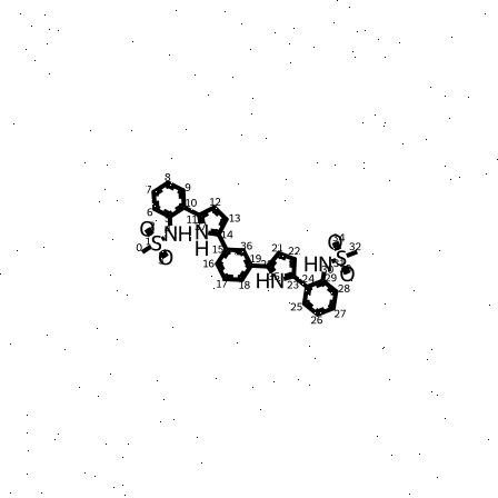 CS(=O)(=O)Nc1ccccc1-c1ccc(-c2cccc(-c3ccc(-c4ccccc4NS(C)(=O)=O)[nH]3)c2)[nH]1